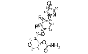 NC(=O)O[C@H]1CCOC[C@@H]1COc1ccc(-n2cc(Cl)cn2)c(F)c1F